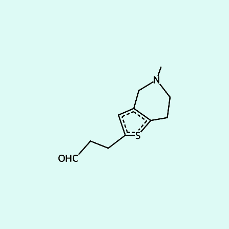 CN1CCc2sc(CCC=O)cc2C1